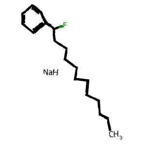 CCCCCCCCCCCC(F)c1ccccc1.[NaH]